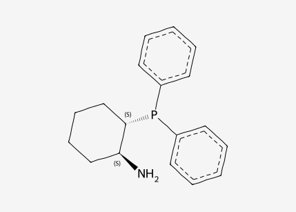 N[C@H]1CCCC[C@@H]1P(c1ccccc1)c1ccccc1